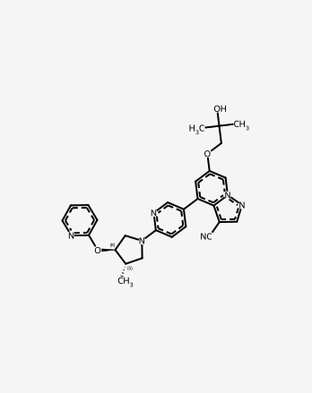 C[C@H]1CN(c2ccc(-c3cc(OCC(C)(C)O)cn4ncc(C#N)c34)cn2)C[C@@H]1Oc1ccccn1